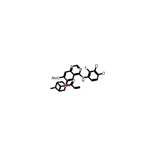 C=CC(=O)N1CC2C(C)C(C1)C2Nc1cc2c(Nc3ccc(Cl)c(Cl)c3F)ncnc2cc1OC